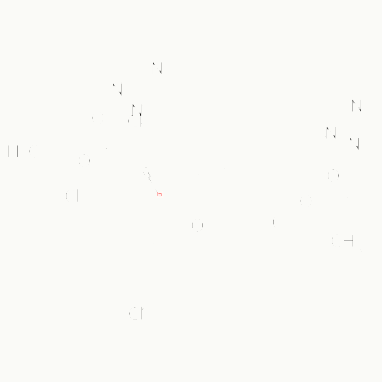 CC1COC(Cn2cncn2)(c2ccc(-c3cc(Cl)ccc3Oc3ccc(Cl)cc3-c3ccc(C4(Cn5cncn5)OCC(C)O4)c(Cl)c3)cc2Cl)O1